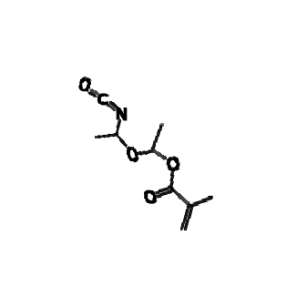 C=C(C)C(=O)OC(C)OC(C)N=C=O